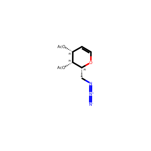 CC(=O)O[C@@H]1[C@H](OC(C)=O)C=CO[C@@H]1CN=[N+]=[N-]